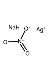 O=[N+]([O-])[O-].[Ag+].[NaH]